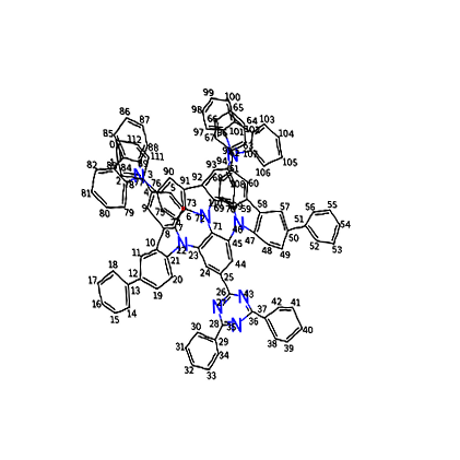 c1ccc(-c2ccc3c(c2)c2cc(-c4ccccc4)ccc2n3-c2cc(-c3nc(-c4ccccc4)nc(-c4ccccc4)n3)cc(-n3c4ccc(-c5ccccc5)cc4c4cc(-c5ccccc5)ccc43)c2-n2c3ccc(-n4c5ccccc5c5ccccc54)cc3c3cc(-n4c5ccccc5c5ccccc54)ccc32)cc1